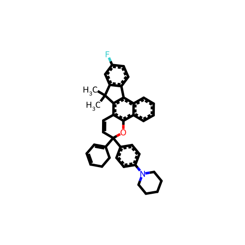 CC1(C)c2cc(F)ccc2-c2c1c1c(c3ccccc23)OC(C2=CC=CCC2)(c2ccc(N3CCCCC3)cc2)C=C1